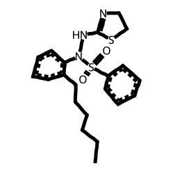 CCCCCCc1ccccc1N(NC1=NCCS1)S(=O)(=O)c1ccccc1